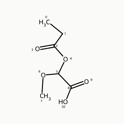 CCC(=O)OC(OC)C(=O)O